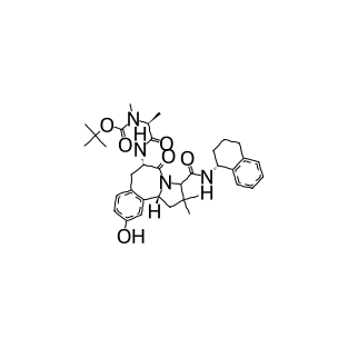 C[C@@H](C(=O)N[C@H]1Cc2ccc(O)cc2[C@H]2CC(C)(C)C(C(=O)N[C@@H]3CCCc4ccccc43)N2C1=O)N(C)C(=O)OC(C)(C)C